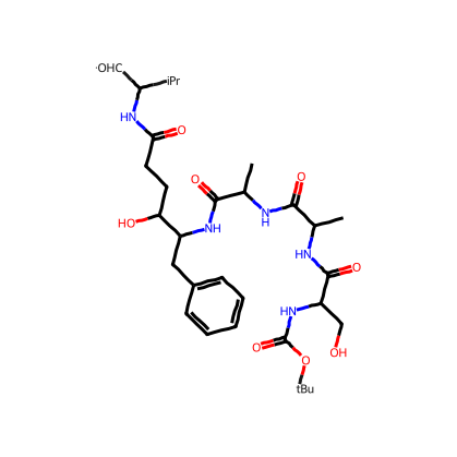 CC(NC(=O)C(C)NC(=O)C(CO)NC(=O)OC(C)(C)C)C(=O)NC(Cc1ccccc1)C(O)CCC(=O)NC([C]=O)C(C)C